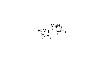 [CaH2].[CaH2].[MgH2].[MgH2]